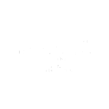 CCCCCCCCCC(=O)O.CCCCN(CCCC)CCCC